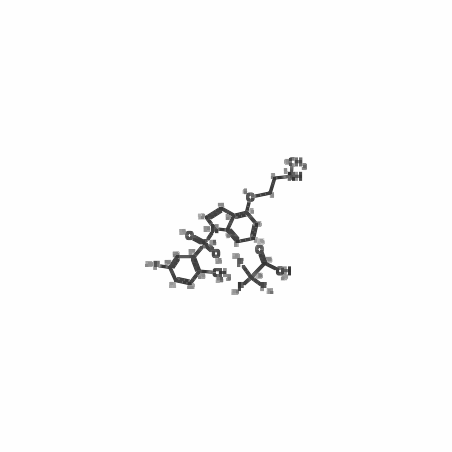 CNCCOc1cccc2c1ccn2S(=O)(=O)c1cc(F)ccc1C.O=C(O)C(F)(F)F